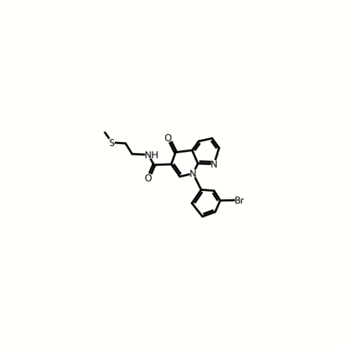 CSCCNC(=O)c1cn(-c2cccc(Br)c2)c2ncccc2c1=O